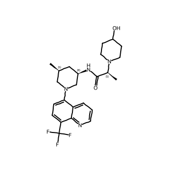 C[C@H]1C[C@@H](NC(=O)[C@H](C)N2CCC(O)CC2)CN(c2ccc(C(F)(F)F)c3ncccc23)C1